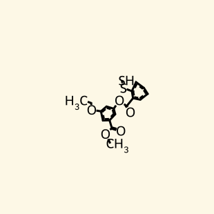 CCOc1cc(OC(=O)c2ccccc2SS)cc(C(=O)OC)c1